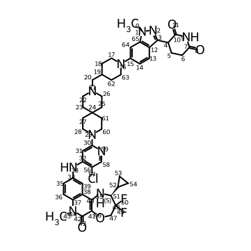 Cn1nc(C2CCC(=O)NC2=O)c2ccc(N3CCC(CN4CCC5(CC4)CCN(c4cc(Nc6ccc7c(c6)c6c(c(=O)n7C)OCC(F)(F)[C@H](C7CC7)N6)c(Cl)cn4)CC5)CC3)cc21